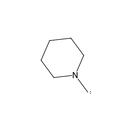 [CH]N1CCCCC1